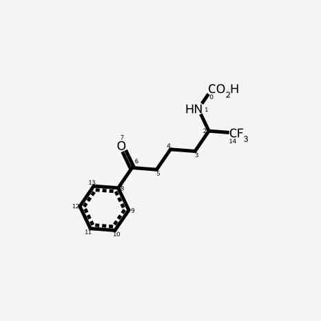 O=C(O)NC(CCCC(=O)c1ccccc1)C(F)(F)F